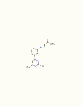 COC(=O)C1CN(c2cccc(-c3cc(C(C)(C)C)nc(C(C)(C)C)n3)c2)C1